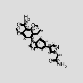 CCc1c(-n2cnc3cc(-c4cnn(CC(N)=O)c4)ccc32)cc(OC)c(C(N)=O)c1OC